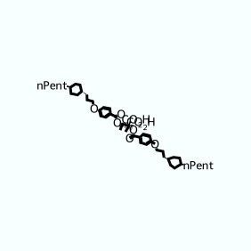 CCCCC[C@H]1CC[C@H](CCCOc2ccc(C(=O)O[C@@](C)(C(=O)O)[C@@](C)(OC(=O)c3ccc(OCCC[C@H]4CC[C@H](CCCCC)CC4)cc3)C(=O)O)cc2)CC1